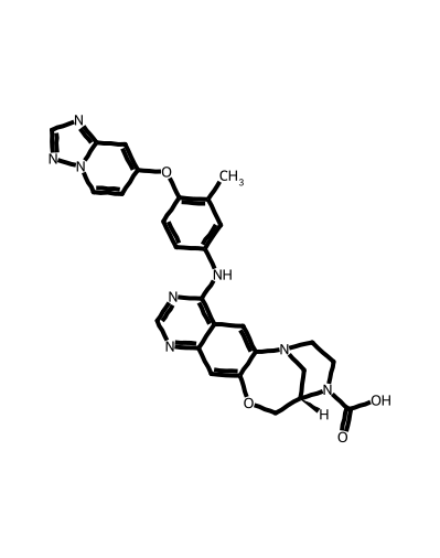 Cc1cc(Nc2ncnc3cc4c(cc23)N2CCN(C(=O)O)[C@H](CO4)C2)ccc1Oc1ccn2ncnc2c1